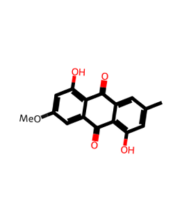 COc1cc(O)c2c(c1)C(=O)c1c(O)cc(C)cc1C2=O